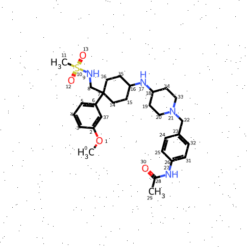 COc1cccc(C2(CNS(C)(=O)=O)CCC(NC3CCN(Cc4ccc(NC(C)=O)cc4)CC3)CC2)c1